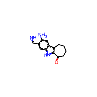 N=Cc1cc2[nH]c3c(c2cc1N)CCCCC3=O